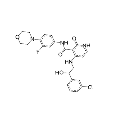 O=C(Nc1ccc(N2CCOCC2)c(F)c1)c1c(NC[C@@H](O)c2cccc(Cl)c2)cc[nH]c1=O